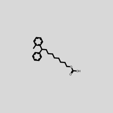 Cc1ccccc1C(CCCCCCCCOC(=O)O)c1ccccc1